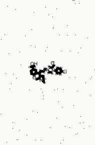 CC(C)(O)c1ccc2c(c1)/C(=C/CCN1CCN(c3ccc(Cl)cc3)C(C=O)C1)C1=CC3CN3C1CO2